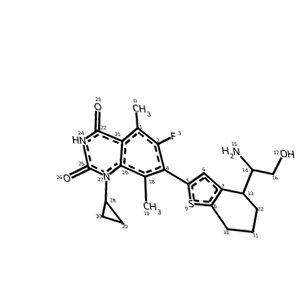 Cc1c(F)c(-c2cc3c(s2)CCCC3C(N)CO)c(C)c2c1c(=O)[nH]c(=O)n2C1CC1